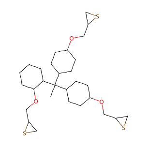 CC(C1CCC(OCC2CS2)CC1)(C1CCC(OCC2CS2)CC1)C1CCCCC1OCC1CS1